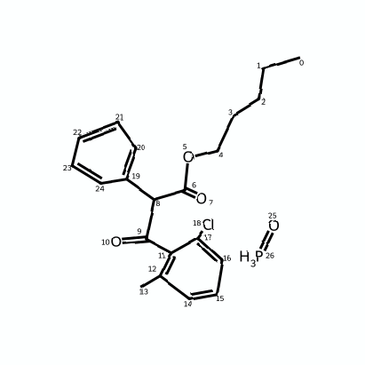 CCCCCOC(=O)C(C(=O)c1c(C)cccc1Cl)c1ccccc1.O=[PH3]